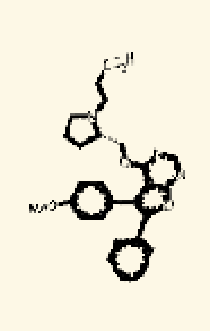 COc1ccc(-c2c(-c3ccccc3)oc3ncnc(OC[C@@H]4CCCN4CCC(=O)O)c23)cc1